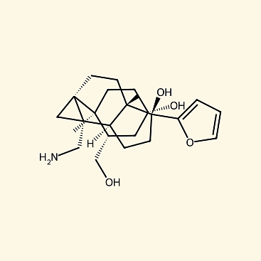 C[C@]1([C@@]23CC[C@@]4(C)[C@@H](CC[C@@]4(O)c4ccco4)[C@@]2(CN)C3)CC[C@H](O)C[C@@H]1CO